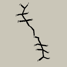 FC(F)C(F)(F)C(F)(F)CCOCC(F)(F)C(F)(F)C(F)F